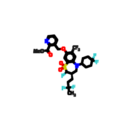 COC(=O)c1ncccc1COc1cc2c(cc1C(F)(F)F)N(C1CCC(F)(F)CC1)C[C@@H](CCC(C)(F)F)[C@@H](F)S2(=O)=O